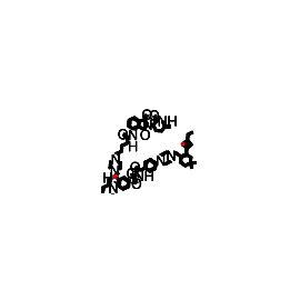 C=C1CCC(N2C(=O)c3cccc(NC(=O)CCCCN4CCN(CCC(CC)N(C)c5ccc(S(=O)(=O)NC(=O)c6ccc(N7CCN(CC8=C(C9%10CC(CC)(C9)C%10)CC(C)(C)CC8)CC7)cc6)cc5S)CC4)c3C2=O)C(=O)N1